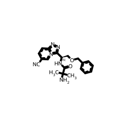 CC(C)(N)C(=O)N[C@H](COCc1ccccc1)c1nnc2ccc(C#N)cn12